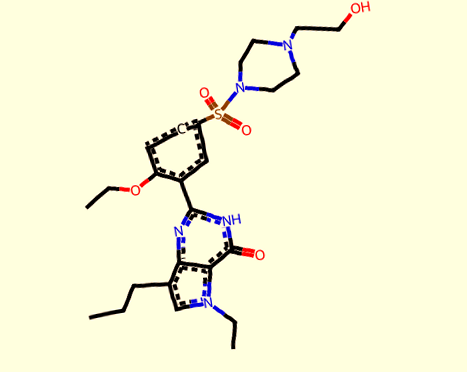 CCCc1cn(CC)c2c(=O)[nH]c(-c3cc(S(=O)(=O)N4CCN(CCO)CC4)ccc3OCC)nc12